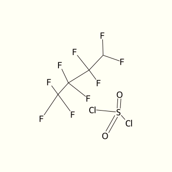 FC(F)C(F)(F)C(F)(F)C(F)(F)F.O=S(=O)(Cl)Cl